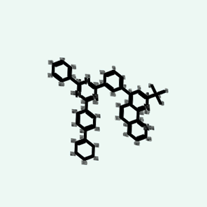 CC(C)(C)c1cc(-c2cccc(-c3nc(-c4ccccc4)nc(-c4ccc(C5=CCCCC5)cc4)n3)c2)c2ccc3cccnc3c2n1